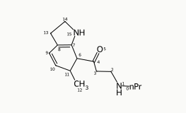 CCCNCCC(=O)C1C2=C(C=CC1C)CCN2